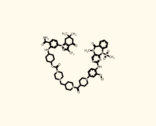 CCOc1cc(N2CCC(C(=O)N3CCC(CN4CCN(C(=O)OC5CCC(Nc6cc(-n7nc(C(F)(F)F)c8c7CC(C)(C)CC8=O)ccc6C(N)=O)CC5)CC4)CC3)CC2)ccc1Nc1ncc2c(n1)N(S(C)(=O)=O)c1ccccc1C(=O)N2C